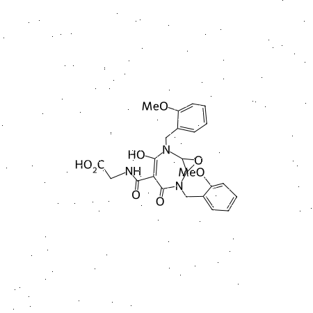 COc1ccccc1CN1C(=O)C(C(=O)NCC(=O)O)=C(O)N(Cc2ccccc2OC)C2OC21